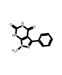 Cn1nc(-c2ccccc2)c2c(=O)[nH]c(=O)[nH]c21